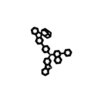 c1ccc(-c2ccc(N(c3ccc(-c4ccc5c(c4)C4(c6ccccc6-5)C5CC6CC(C5)CC4C6)cc3)c3ccc4c(c3)oc3ccccc34)c3ccccc23)cc1